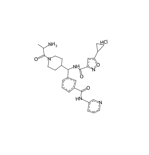 CC(N)C(=O)N1CCC(C(NC(=O)c2cc(C3CC3)on2)c2cccc(C(=O)Nc3cccnc3)c2)CC1.Cl